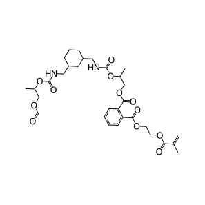 C=C(C)C(=O)OCCOC(=O)c1ccccc1C(=O)OCC(C)OC(=O)NCC1CCCC(CNC(=O)OC(C)COC=O)C1